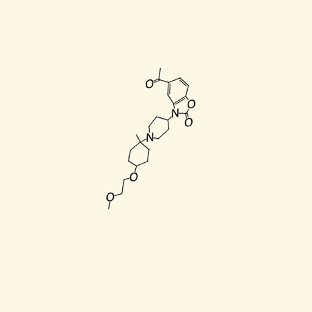 COCCOC1CCC(C)(N2CCC(n3c(=O)oc4ccc(C(C)=O)cc43)CC2)CC1